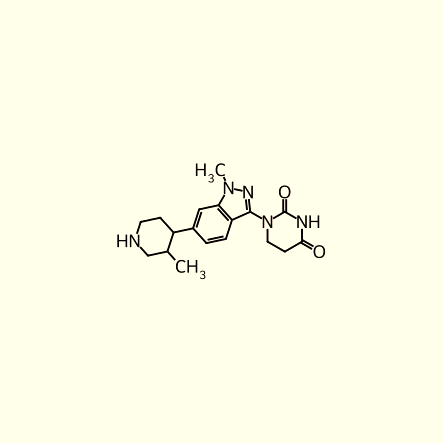 CC1CNCCC1c1ccc2c(N3CCC(=O)NC3=O)nn(C)c2c1